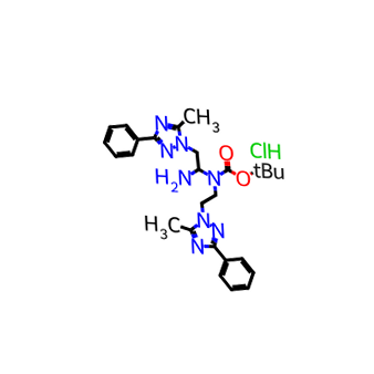 Cc1nc(-c2ccccc2)nn1CCN(C(=O)OC(C)(C)C)C(N)Cn1nc(-c2ccccc2)nc1C.Cl